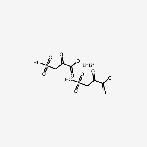 O=C([O-])C(=O)CS(=O)(=O)O.O=C([O-])C(=O)CS(=O)(=O)O.[Li+].[Li+]